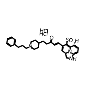 Cl.Cl.O=C(/C=C/C1=CC2CNC3=CC=CC(=C1S(=O)(=O)O)N32)CCC1CCN(CCCc2ccccc2)CC1